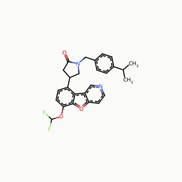 CC(C)c1ccc(CN2CC(c3ccc(OC(F)F)c4oc5ccncc5c34)CC2=O)cc1